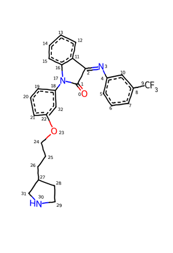 O=C1C(=Nc2cccc(C(F)(F)F)c2)c2ccccc2N1c1cccc(OCCCC2CCNC2)c1